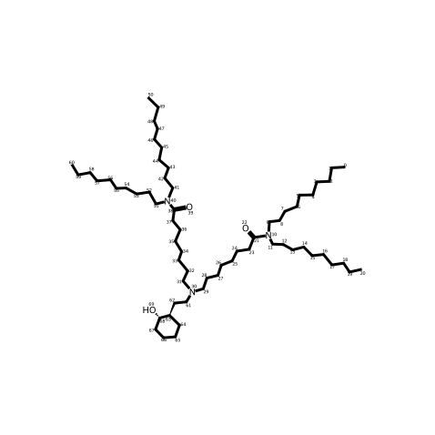 CCCCCCCCCCN(CCCCCCCCCC)C(=O)CCCCCCCN(CCCCCCCC(=O)N(CCCCCCCCCC)CCCCCCCCCC)CC[C@H]1CCCC[C@@H]1O